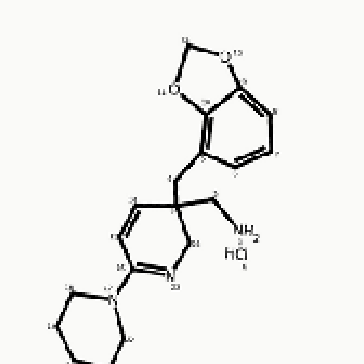 Cl.NCC1(Cc2cccc3c2OCO3)C=CC(N2CCCCC2)=NC1